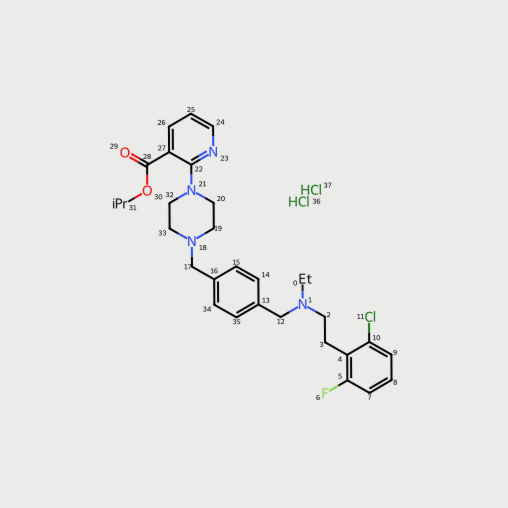 CCN(CCc1c(F)cccc1Cl)Cc1ccc(CN2CCN(c3ncccc3C(=O)OC(C)C)CC2)cc1.Cl.Cl